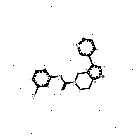 O=C(Nc1cccc(Cl)c1)N1CCc2[nH]nc(-c3cccnc3)c2C1